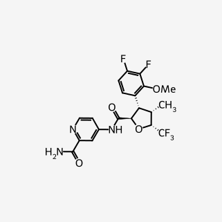 COc1c([C@@H]2[C@H](C)[C@H](C(F)(F)F)O[C@H]2C(=O)Nc2ccnc(C(N)=O)c2)ccc(F)c1F